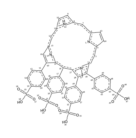 Cn1c2cc3nc(cc4ccc(cc5nc(c(-c6ccc(S(=O)(=O)O)cc6)c1c(-c1ccc(S(=O)(=O)O)cc1)c2-c1ccc(S(=O)(=O)O)cc1)C(c1ccc(S(=O)(=O)O)cc1)=C5)[nH]4)C=C3